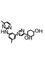 Cc1cc(Nc2nccc(C)n2)cc(-n2cnc([C@]3(O)CC[C@@H](O)CC3)c2)c1